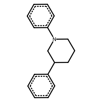 c1ccc(C2CCCN(c3ccccc3)C2)cc1